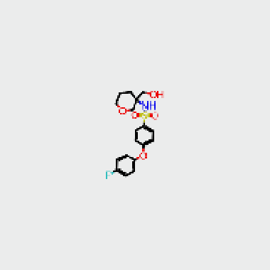 O=S(=O)(NC1(CO)CCCOC1)c1ccc(Oc2ccc(F)cc2)cc1